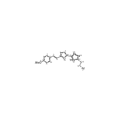 COc1ccc(/C=C/c2ccc(-c3nnc(SCC(C)=O)[nH]3)o2)cc1